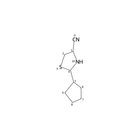 N#CC1CSC(C2CCCC2)N1